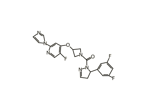 O=C(N1CC(Oc2cc(-n3ccnc3)ncc2F)C1)N1N=CCC1c1cc(F)cc(F)c1